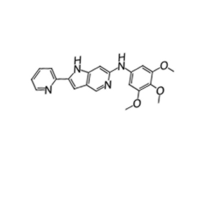 COc1cc(Nc2cc3[nH]c(-c4ccccn4)cc3cn2)cc(OC)c1OC